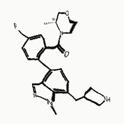 C[C@@H]1COCCN1C(=O)c1cc(F)ccc1-c1ccc(CC2CNC2)c2c1cnn2C